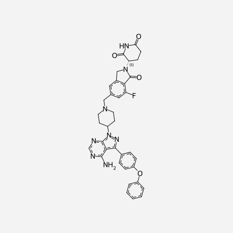 Nc1ncnc2c1c(-c1ccc(Oc3ccccc3)cc1)nn2C1CCN(Cc2cc(F)c3c(c2)CN([C@H]2CCC(=O)NC2=O)C3=O)CC1